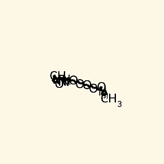 C=C1C=CC(=O)N1Cc1cn(CCOCCOCCOCCOCCC(=O)N2CC[C@H](C)C2)nn1